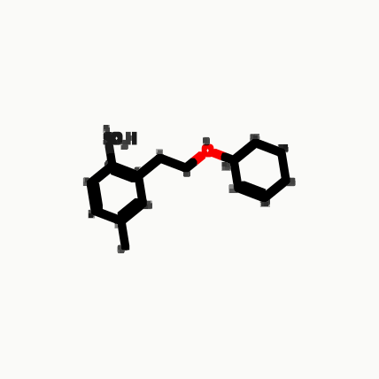 Cc1ccc(S(=O)(=O)O)c(CCOC2C=CCCC2)c1